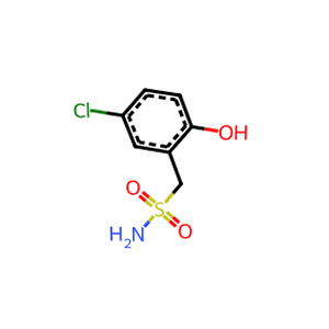 NS(=O)(=O)Cc1cc(Cl)ccc1O